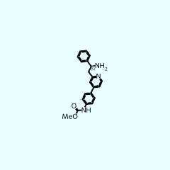 COC(=O)Nc1ccc(-c2ccnc(C[C@H](N)c3ccccc3)c2)cc1